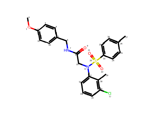 COc1ccc(CNC(=O)CN(c2cccc(Cl)c2C)S(=O)(=O)c2ccc(C)cc2)cc1